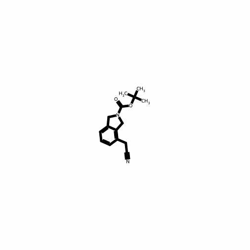 CC(C)(C)OC(=O)N1Cc2cccc(CC#N)c2C1